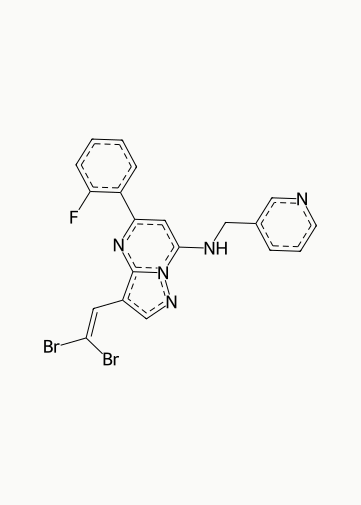 Fc1ccccc1-c1cc(NCc2cccnc2)n2ncc(C=C(Br)Br)c2n1